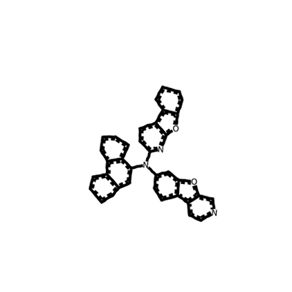 c1ccc2c(c1)cc(N(c1ccc3c(c1)oc1cnccc13)c1ccc3c(n1)oc1ccccc13)c1ccccc12